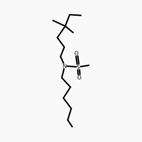 CCCCCCN(CCCC(C)(C)CC)S(C)(=O)=O